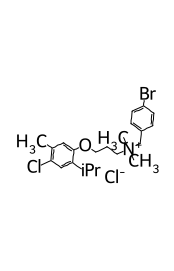 Cc1cc(OCCC[N+](C)(C)Cc2ccc(Br)cc2)c(C(C)C)cc1Cl.[Cl-]